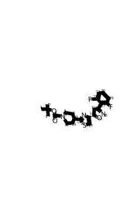 CC(C)(C)OC(=O)N1CCC(c2nc([C@@H]3CC(c4c(F)cccc4F)=NO3)cs2)CC1